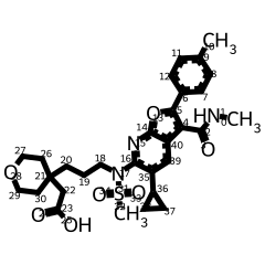 CNC(=O)c1c(-c2ccc(C)cc2)oc2nc(N(CCCC3(CC(=O)O)CCOCC3)S(C)(=O)=O)c(C3CC3)cc12